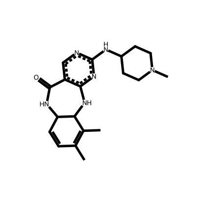 CC1=C(C)C2Nc3nc(NC4CCN(C)CC4)ncc3C(=O)NC2C=C1